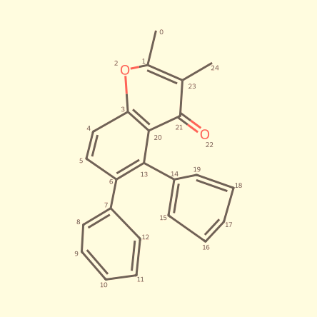 Cc1oc2ccc(-c3ccccc3)c(-c3ccccc3)c2c(=O)c1C